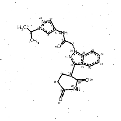 CC(C)n1cc(NC(=O)Cn2nc(C3CCC(=O)NC3=O)c3ccccc32)cn1